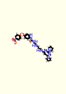 O=[N+]([O-])c1ccc(Oc2ccc(NC(=S)NCCNCCCNc3cc(N4CCCC4)nc(N4CCCC4)n3)cc2)cc1